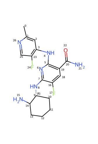 Cc1cc(Nc2nc(N[C@@H]3CCCCC3N)c(F)cc2C(N)=O)c(F)cn1